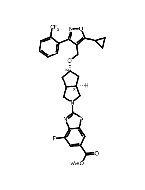 COC(=O)c1cc(F)c2nc(N3CC4C[C@H](OCc5c(-c6ccccc6C(F)(F)F)noc5C5CC5)C[C@H]4C3)sc2c1